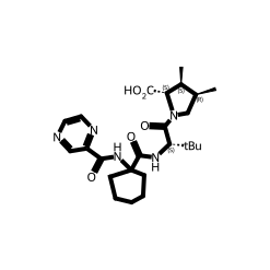 C[C@@H]1[C@@H](C(=O)O)N(C(=O)[C@@H](NC(=O)C2(NC(=O)c3cnccn3)CCCCC2)C(C)(C)C)C[C@@H]1C